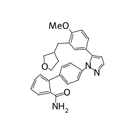 COc1ccc(-c2ccnn2-c2ccc(-c3ccccc3C(N)=O)cc2)cc1CC1CCOC1